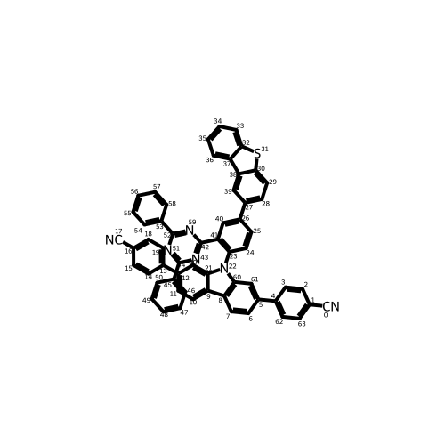 N#Cc1ccc(-c2ccc3c4ccc(-c5ccc(C#N)cc5)cc4n(-c4ccc(-c5ccc6sc7ccccc7c6c5)cc4-c4nc(-c5ccccc5)nc(-c5ccccc5)n4)c3c2)cc1